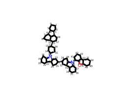 c1ccc2c(c1)-c1cccc3c(-c4ccc(-n5c6ccccc6c6ccc(-c7ccc8c(c7)c7ccccc7n8-c7cccc8c7oc7ccccc78)cc65)cc4)ccc-2c13